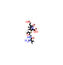 CC1C(S[C@@H]2CCO[C@@H]2CNC(=O)[C@@H](N)C(C)C)=C(C(=O)O)N2C(=O)C(CCO)[C@H]12